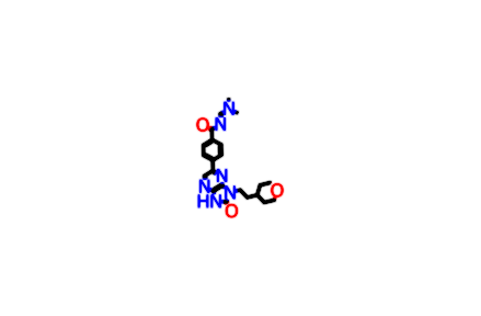 CN(C)C=NC(=O)c1ccc(-c2cnc3[nH]c(=O)n(CCC4CCOCC4)c3n2)cc1